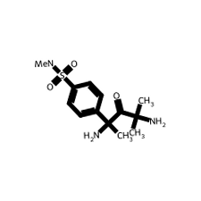 CNS(=O)(=O)c1ccc(C(C)(N)C(=O)C(C)(C)N)cc1